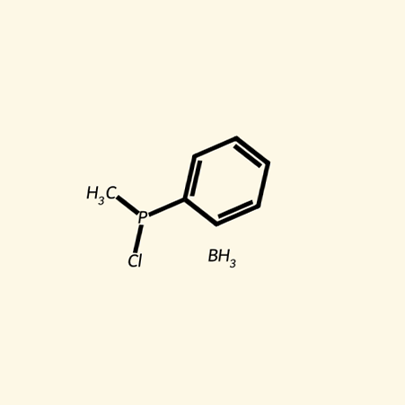 B.CP(Cl)c1ccccc1